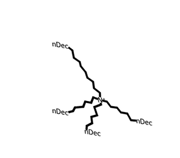 CCCCCCCCCCCCCCCCCCC[N+](CCCCCCCCCCCCCCCC)(CCCCCCCCCCCCCCCC)CCCCCCCCCCCCCCCC